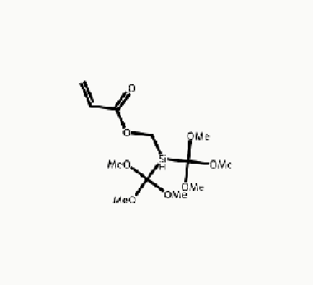 C=CC(=O)OC[SiH](C(OC)(OC)OC)C(OC)(OC)OC